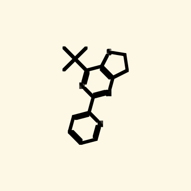 CC(C)(C)c1nc(-c2ccccn2)nc2c1SCC2